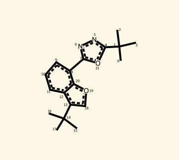 CC(C)(C)c1nnc(-c2cccc3c(C(C)(C)C)coc23)o1